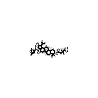 Cc1cc(NC(=O)[C@@]23CC[C@]4(C)C(CCC5[C@@]6(C)CC[C@H](OC(=O)CC(C)(C)C(=O)O)C(C)(C)C6CC[C@]54C)C2=C(C(C)C)C(=O)C3)no1